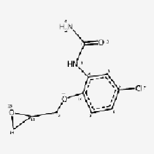 NC(=O)Nc1cc(Cl)ccc1OCC1CO1